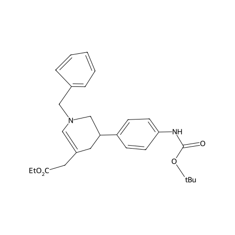 CCOC(=O)CC1=CN(Cc2ccccc2)CC(c2ccc(NC(=O)OC(C)(C)C)cc2)C1